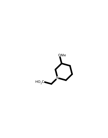 COC1CCCN(CC(=O)O)C1